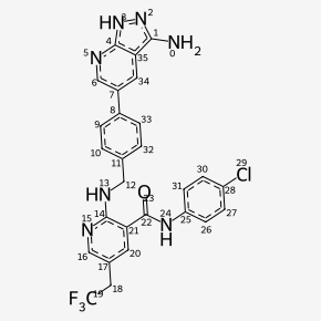 Nc1n[nH]c2ncc(-c3ccc(CNc4ncc(CC(F)(F)F)cc4C(=O)Nc4ccc(Cl)cc4)cc3)cc12